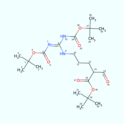 CC(C)(C)OC(=O)/N=C(\NCCCC([C]=O)C(=O)OC(C)(C)C)NC(=O)OC(C)(C)C